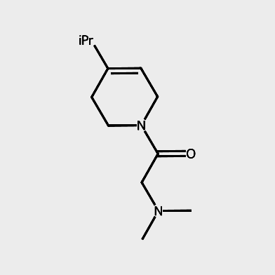 CC(C)C1=CCN(C(=O)CN(C)C)CC1